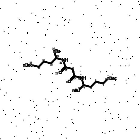 CCCCCCCCCCCCCC(CCCC)NC(=O)CC(=O)NC(CCCC)CCCCCCCCCCCCC